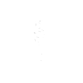 CCc1cc2c(cc1N1CCC(N3C[C@@H](C)O[C@@H](C)C3)CC1)C(C)(C)c1[nH]c3cc(C#N)ccc3c1C2=O